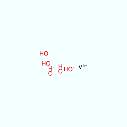 [OH-].[OH-].[OH-].[OH-].[OH-].[V+5]